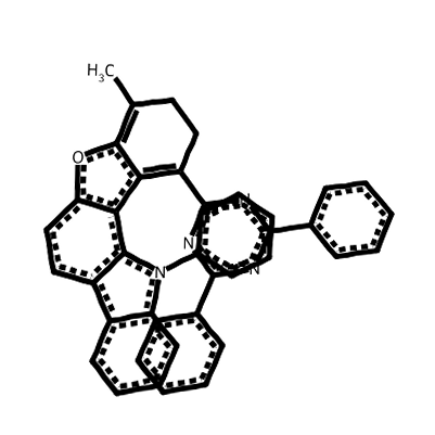 CC1=c2oc3ccc4c5ccccc5n(-c5ccccc5)c4c3c2=C(c2nc(-c3ccccc3)nc(-c3ccccc3)n2)CC1